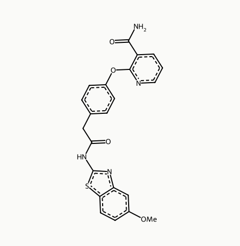 COc1ccc2sc(NC(=O)Cc3ccc(Oc4ncccc4C(N)=O)cc3)nc2c1